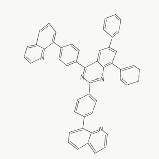 C1=CC(c2cc(-c3ccccc3)cc3c(-c4ccc(-c5cccc6cccnc56)cc4)nc(-c4ccc(-c5cccc6cccnc56)cc4)nc23)=CCC1